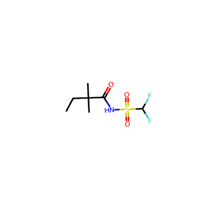 CCC(C)(C)C(=O)NS(=O)(=O)C(F)F